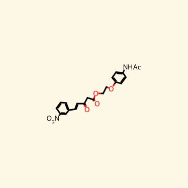 CC(=O)Nc1ccc(OCCOC(=O)CC(=O)C=Cc2cccc([N+](=O)[O-])c2)cc1